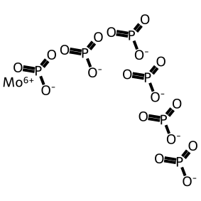 O=P(=O)[O-].O=P(=O)[O-].O=P(=O)[O-].O=P(=O)[O-].O=P(=O)[O-].O=P(=O)[O-].[Mo+6]